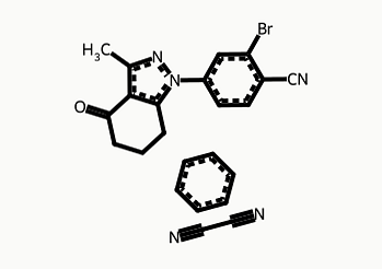 Cc1nn(-c2ccc(C#N)c(Br)c2)c2c1C(=O)CCC2.N#CC#N.c1ccccc1